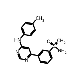 C=S(N)(=O)c1cccc(-c2cc(Nc3ccc(C)cc3)ncn2)c1